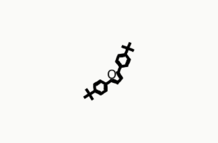 CC(C)(C)c1ccc(-c2ccc(-c3ccc(C(C)(C)C)cc3)o2)cc1